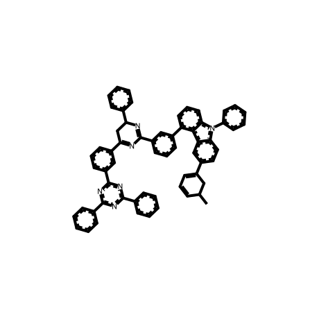 CC1C=CC=C(c2ccc3c(c2)c2c(-c4cccc(C5=NC(c6ccccc6)CC(c6cccc(-c7nc(-c8ccccc8)nc(-c8ccccc8)n7)c6)=N5)c4)cccc2n3-c2ccccc2)C1